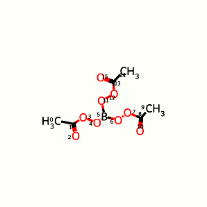 CC(=O)OOB(OOC(C)=O)OOC(C)=O